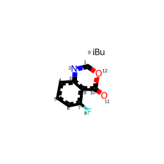 CC[C@H](C)c1nc2cccc(F)c2c(=O)o1